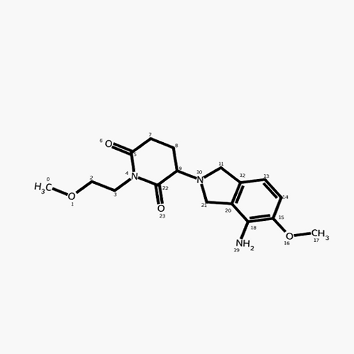 COCCN1C(=O)CCC(N2Cc3ccc(OC)c(N)c3C2)C1=O